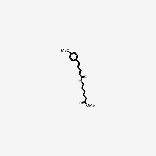 COC(=O)CCCCCNC(=O)/C=C/C=C/c1ccc(OC)cc1